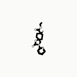 CCOC(=O)C1(F)CCC2(CC1)CN(c1ccccn1)C(=O)O2